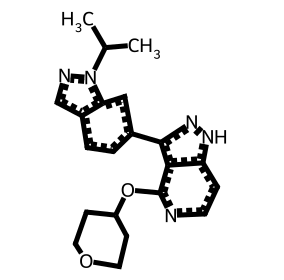 CC(C)n1ncc2ccc(-c3n[nH]c4ccnc(OC5CCOCC5)c34)cc21